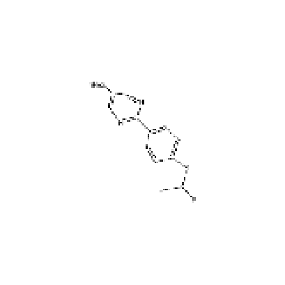 CCCCCCc1cnc(-c2ccc(SC(F)F)cc2)nc1